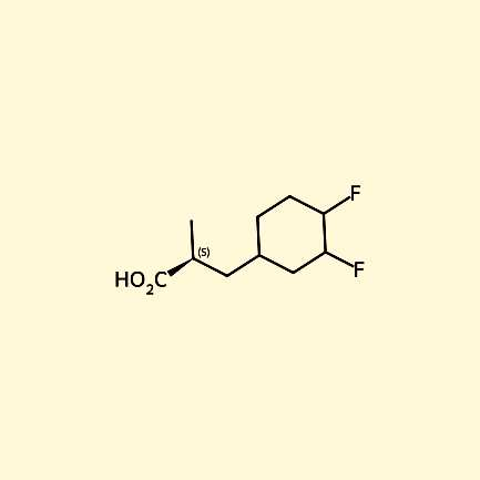 C[C@@H](CC1CCC(F)C(F)C1)C(=O)O